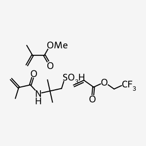 C=C(C)C(=O)NC(C)(C)CS(=O)(=O)O.C=C(C)C(=O)OC.C=CC(=O)OCC(F)(F)F